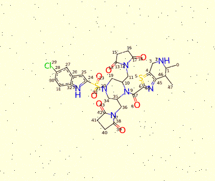 CC1NCc2sc(C(=O)N3C(CN4C(=O)CCC4=O)CN(S(=O)(=O)c4cc5cc(Cl)ccc5[nH]4)CC3CN3C(=O)CCC3=O)nc2C1C